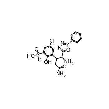 NC(=O)CC(c1cc(Cl)cc(S(=O)(=O)O)c1O)[C@H](N)c1nnc(-c2ccccc2)o1